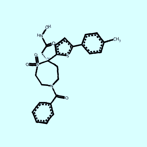 Cc1ccc(-c2ccc([C@@]3(CC(=O)NO)CCN(C(=O)c4ccccc4)CCS3(=O)=O)s2)cc1